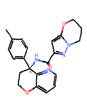 Cc1ccc([C@@]2(NC(=O)c3cc4n(n3)CCCO4)CCOc3cccnc32)cc1